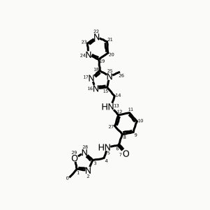 Cc1nc(CNC(=O)c2cccc(NCc3nnc(-c4ccncn4)n3C)c2)no1